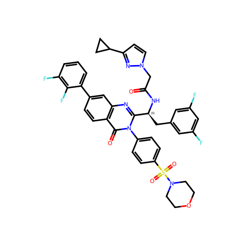 O=C(Cn1ccc(C2CC2)n1)N[C@@H](Cc1cc(F)cc(F)c1)c1nc2cc(-c3cccc(F)c3F)ccc2c(=O)n1-c1ccc(S(=O)(=O)N2CCOCC2)cc1